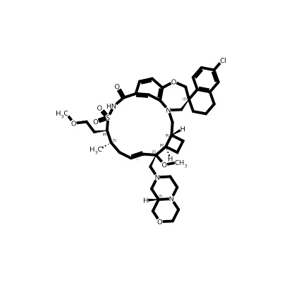 COCC[C@@H]1[C@@H](C)C/C=C/[C@@](CN2CCN3CCOC[C@@H]3C2)(OC)[C@@H]2CC[C@H]2CN2C[C@@]3(CCCc4cc(Cl)ccc43)COc3ccc(cc32)C(=O)NS1(=O)=O